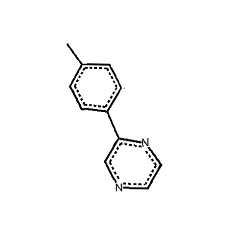 Cc1c[c]c(-c2cnccn2)cc1